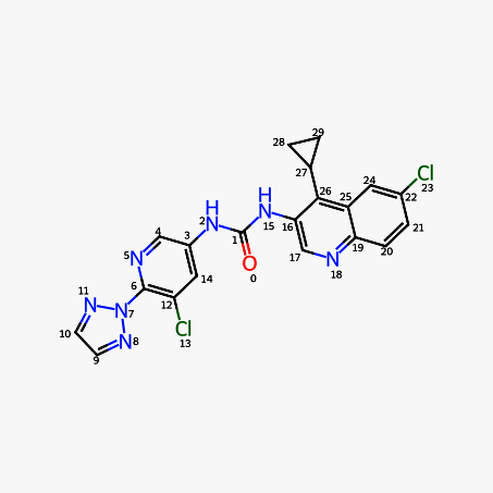 O=C(Nc1cnc(-n2nccn2)c(Cl)c1)Nc1cnc2ccc(Cl)cc2c1C1CC1